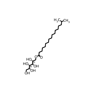 CC(C)CCCCCCCCCCCCCCC(=O)OC[C@H](O)[C@@H](O)[C@H](O)[C@H](O)CO